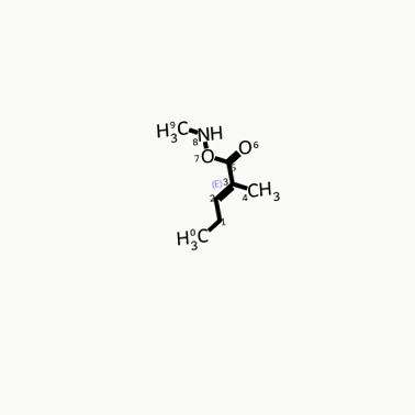 CC/C=C(\C)C(=O)ONC